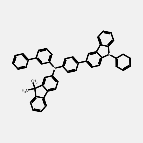 CC1(C)c2ccccc2-c2ccc(N(c3ccc(-c4ccc5c(c4)c4ccccc4n5C4=CC=CCC4)cc3)c3cccc(-c4ccccc4)c3)cc21